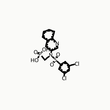 O=P(O)(O)CN(c1cnc2ccccc2c1)S(=O)(=O)c1cc(Cl)cc(Cl)c1